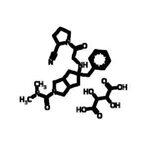 CN(C)C(=O)N1CC2CC(Cc3ccccc3)(NCC(=O)N3CCCC3C#N)CC2C1.O=C(O)C(O)C(O)C(=O)O